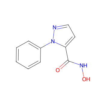 O=C(NO)c1ccnn1-c1ccccc1